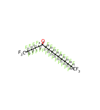 O=C(C(F)(F)C(F)(F)C(F)(F)C(F)(F)C(F)(F)F)C(F)(F)C(F)(F)C(F)(F)C(F)(F)C(F)(F)C(F)(F)C(F)(F)C(F)(F)C(F)(F)C(F)(F)F